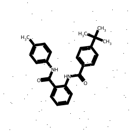 Cc1ccc(NC(=O)c2ccccc2NC(=O)c2ccc(C(C)(C)C)cc2)cc1